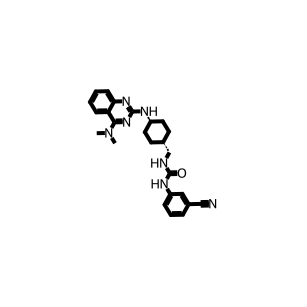 CN(C)c1nc(N[C@H]2CC[C@@H](CNC(=O)Nc3cccc(C#N)c3)CC2)nc2ccccc12